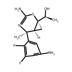 C[C@H](O)[C@@]12C[C@H]1[C@@](C)(c1cc(N)cc(F)c1F)N=C(N)S2